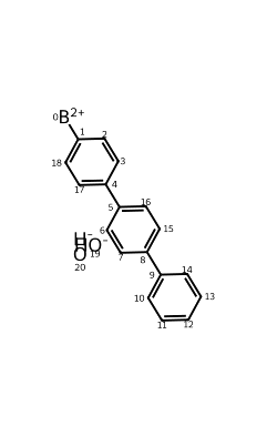 [B+2]c1ccc(-c2ccc(-c3ccccc3)cc2)cc1.[OH-].[OH-]